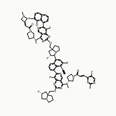 C#Cc1c(F)cc(C2[C@H](F)C[C@]3(COc4nc(N(C)[C@@H]5CCN(C(=O)C=C6CN(C)C6)C5)c5cnc(-c6cccc7ccc(F)c(Cl)c67)c(F)c5n4)CCCN23)c2cccc(-c3ncc4c(N(C)[C@@H]5CCN(C(=O)/C=C/c6nc(C)ncc6F)C5)nc(OC[C@@]56CCCN5C[C@H](F)C6)nc4c3F)c12